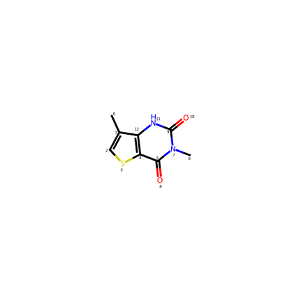 Cc1csc2c(=O)n(C)c(=O)[nH]c12